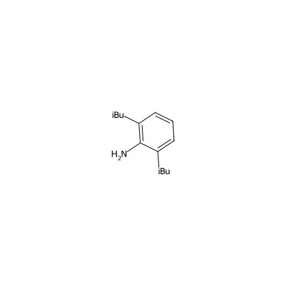 CCC(C)c1cccc(C(C)CC)c1N